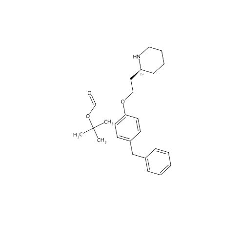 CC(C)(C)OC=O.c1ccc(Cc2ccc(OCC[C@@H]3CCCCN3)cc2)cc1